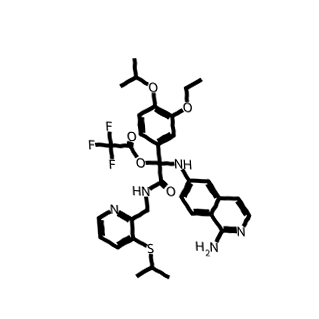 CCOc1cc(C(Nc2ccc3c(N)nccc3c2)(OC(=O)C(F)(F)F)C(=O)NCc2ncccc2SC(C)C)ccc1OC(C)C